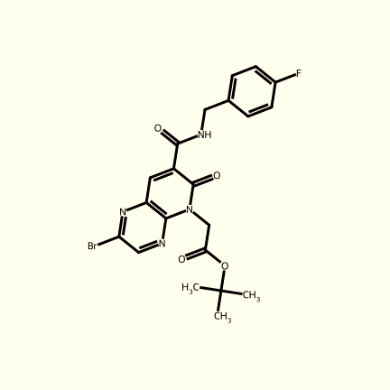 CC(C)(C)OC(=O)Cn1c(=O)c(C(=O)NCc2ccc(F)cc2)cc2nc(Br)cnc21